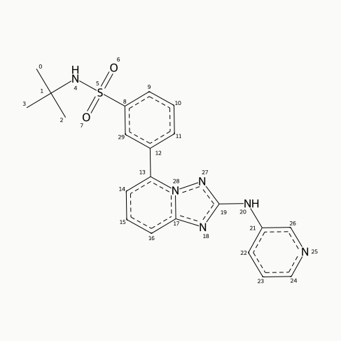 CC(C)(C)NS(=O)(=O)c1cccc(-c2cccc3nc(Nc4cccnc4)nn23)c1